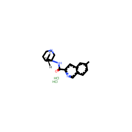 Cc1ccc2cnc(C(=O)N[C@H]3CN4CCC3CC4)cc2c1.Cl.Cl